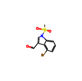 CS(=O)(=O)n1cc(C=O)c2c(Br)cccc21